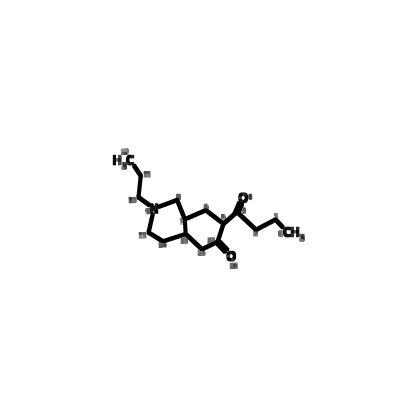 CCCC(=O)C1CC2CN(CCC)CCC2CC1=O